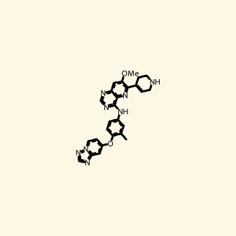 COc1cc2ncnc(Nc3ccc(Oc4ccn5ncnc5c4)c(C)c3)c2nc1C1=CCNCC1